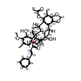 COc1c(C)cc2c(c1O)[C@@H]1C3[C@@H]4SCC(NC(=O)/C=C/c5ccccc5)C(=O)OC[C@@H](c5c6c(c(C)c(OC(C)=O)c54)OCO6)N3[C@@H](O)[C@H](C2)N1C